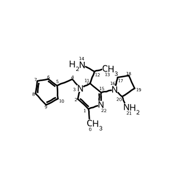 CC1=CN(Cc2ccccc2)[C](C(C)N)C(N2CCCC2N)=N1